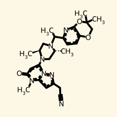 CC(c1ccc2c(n1)OC(C)(C)CO2)N1C[C@H](C)N(c2cc(=O)n(C)c3cc(CC#N)nn23)C[C@H]1C